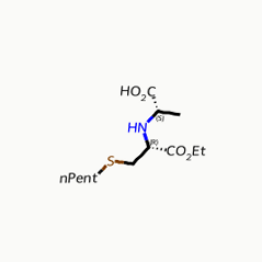 CCCCCSC[C@H](N[C@@H](C)C(=O)O)C(=O)OCC